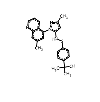 Cc1cc(-n2nc(C)cc2NSc2ccc(C(C)(C)C)cc2)c2cccnc2c1